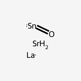 [La].[O]=[Sn].[SrH2]